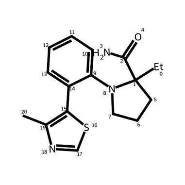 CCC1(C(N)=O)CCCN1c1ccccc1-c1scnc1C